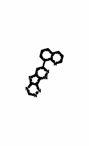 c1cnc2c(-c3cc4sc5ncnnc5c4nn3)cccc2c1